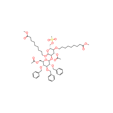 COC(=O)CCCCCCCCO[C@H]1O[C@H](COS(C)(=O)=O)[C@@H](OCCCCCCCCC(=O)OC)[C@H](OC(C)=O)[C@H]1O[C@@H]1O[C@H](COC(C)=O)[C@@H](OCc2ccccc2)[C@H](OCc2ccccc2)[C@H]1OCc1ccccc1